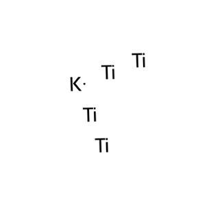 [K].[Ti].[Ti].[Ti].[Ti]